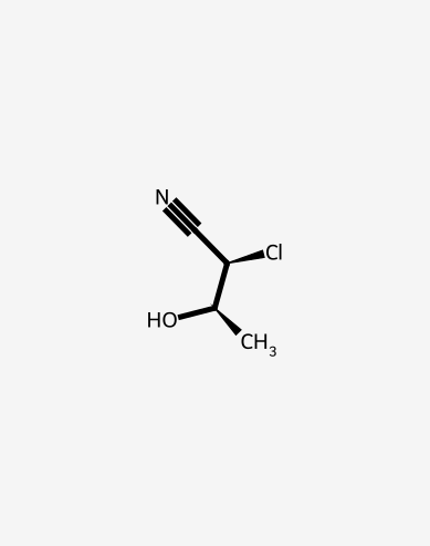 C[C@@H](O)[C@H](Cl)C#N